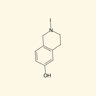 Oc1ccc2c(c1)CCN(I)C2